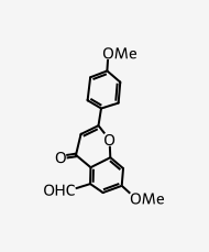 COc1ccc(-c2cc(=O)c3c(C=O)cc(OC)cc3o2)cc1